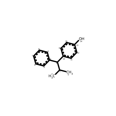 CC(C)C(c1ccccc1)c1ccc(O)cc1